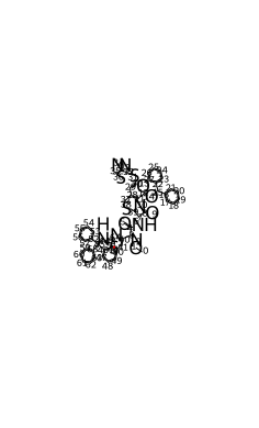 CON=C(C(=O)NC1C(=O)N2C(C(=O)OC(c3ccccc3)c3ccccc3)=C(C=CSc3nncs3)CSC12)c1csc(NC(c2ccccc2)(c2ccccc2)c2ccccc2)n1